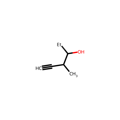 C#CC(C)C(O)CC